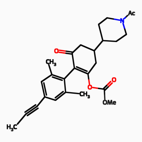 CC#Cc1cc(C)c(C2=C(OC(=O)OC)CC(C3CCN(C(C)=O)CC3)CC2=O)c(C)c1